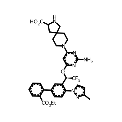 CCOC(=O)c1ccccc1-c1ccc(-n2ccc(C)n2)c([C@@H](Oc2cc(N3CCC4(CC3)CNC(C(=O)O)C4)nc(N)n2)C(F)(F)F)c1